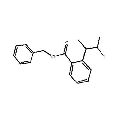 CC(I)C(C)c1ccccc1C(=O)OCc1ccccc1